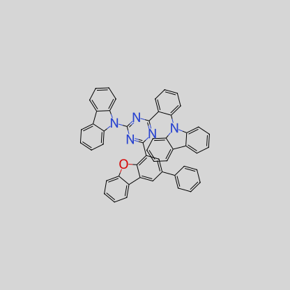 c1ccc(-c2cc(-c3nc(-c4ccccc4-n4c5ccccc5c5ccccc54)nc(-n4c5ccccc5c5ccccc54)n3)c3oc4ccccc4c3c2)cc1